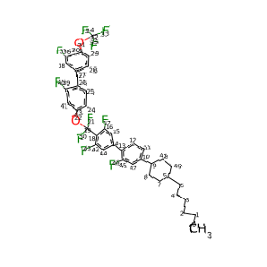 CCCCCCC1CCC(c2ccc(-c3cc(F)c(C(F)(F)Oc4ccc(-c5ccc(OC(F)(F)F)c(F)c5)c(F)c4)c(F)c3)c(F)c2)CC1